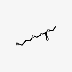 CCOC(=O)CCOCCCBr